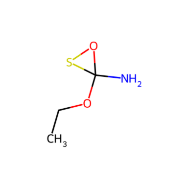 CCOC1(N)OS1